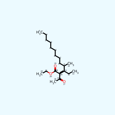 CCCCCCCCCC(C)/C(CC)=C(/C(C)=O)C(=O)OCC